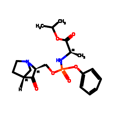 CC(C)OC(=O)[C@H](C)NP(=O)(OC[C@@H]1C(=O)[C@@H]2CCN1C2)Oc1ccccc1